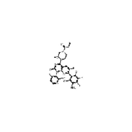 C=CC(=O)N1CCN(c2nc(=O)n(-c3c(C)ccnc3C(C)C)c3nc(-c4c(Cl)c(N)c(F)c(F)c4Cl)c(F)cc23)[C@@H](C)C1